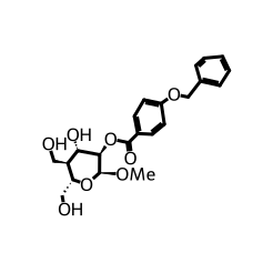 CO[C@H]1O[C@H](CO)[C@@H](CO)[C@H](O)[C@H]1OC(=O)c1ccc(OCc2ccccc2)cc1